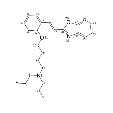 CCCN(CCC)CCCCOc1ccccc1C=Cc1nc2ccccc2o1